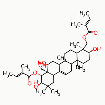 BC12CC[C@H](O)[C@](C)(COC(=O)/C(C)=C/C)C1CCC1C2CC=C2C3CC(C)(C)[C@@H](O)[C@H](OC(=O)/C(C)=C/C)[C@]3(CO)[C@H](O)C[C@]21C